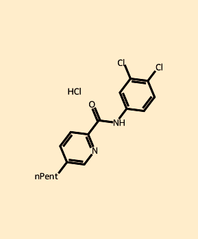 CCCCCc1ccc(C(=O)Nc2ccc(Cl)c(Cl)c2)nc1.Cl